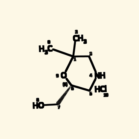 CC1(C)CNC[C@H](CO)O1.Cl